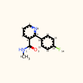 CNC(=O)c1cccnc1-c1ccc(F)cc1